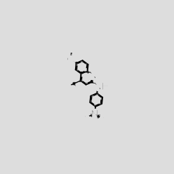 COc1ccc2nc(Nc3ccc([N+](=O)[O-])cc3)cc(C(F)(F)F)c2c1